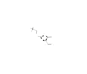 Cc1nc(OCC(F)(F)F)sc1[C@@H](C)N